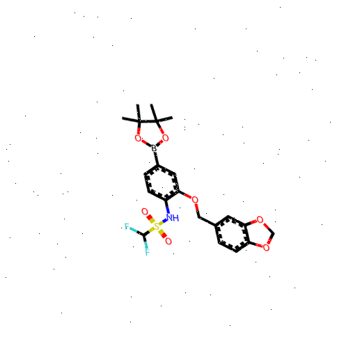 CC1(C)OB(c2ccc(NS(=O)(=O)C(F)F)c(OCc3ccc4c(c3)OCO4)c2)OC1(C)C